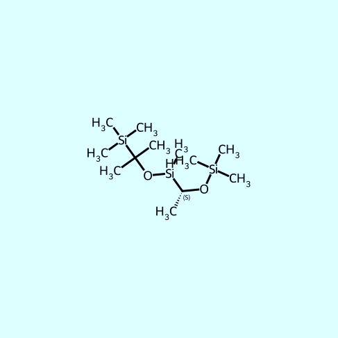 C[C@@H](O[Si](C)(C)C)[SiH](C)OC(C)(C)[Si](C)(C)C